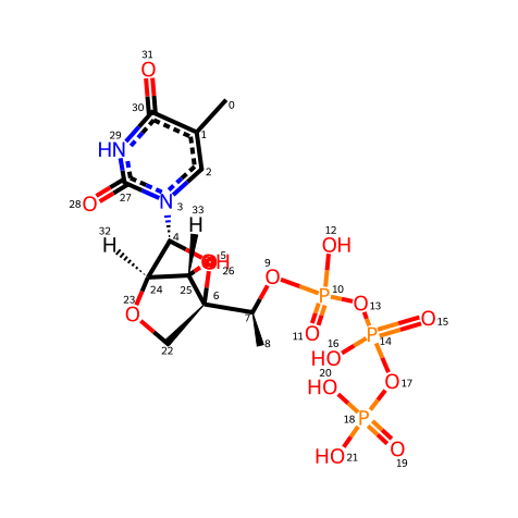 Cc1cn([C@@H]2O[C@@]3([C@H](C)OP(=O)(O)OP(=O)(O)OP(=O)(O)O)CO[C@@H]2[C@@H]3O)c(=O)[nH]c1=O